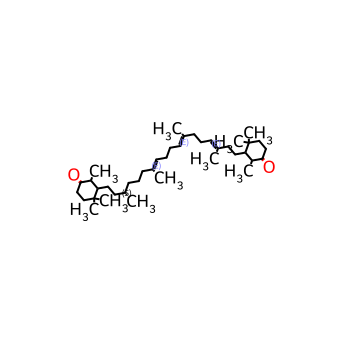 C/C(=C\CC/C=C(\C)CCC[C@H](C)CCC1C(C)C(=O)CCC1(C)C)CC/C=C(\C)CCC1C(C)C(=O)CCC1(C)C